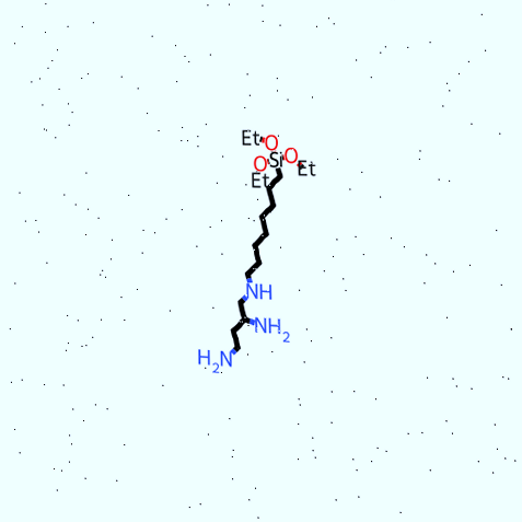 CCO[Si](CCCCCCCCNCC(N)CCN)(OCC)OCC